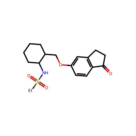 CCS(=O)(=O)NC1CCCCC1COc1ccc2c(c1)CCC2=O